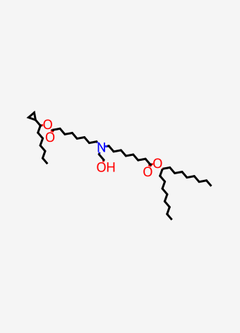 CCCCCCCCC(CCCCCCCC)OC(=O)CCCCCCCN(CCO)CCCCCCCC(=O)OC(CCCCCC)C1CC1